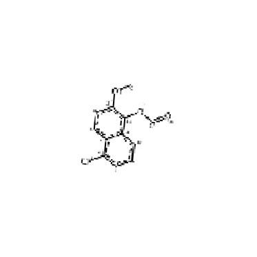 COc1ccc2c(Cl)cccc2c1OC=O